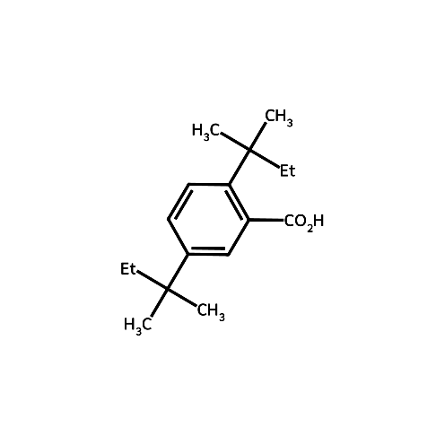 CCC(C)(C)c1ccc(C(C)(C)CC)c(C(=O)O)c1